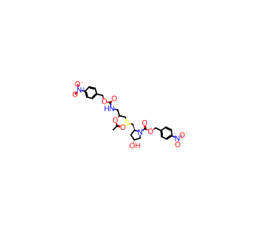 CC(=O)OC(CNC(=O)OCc1ccc([N+](=O)[O-])cc1)CSC[C@@H]1C[C@@H](O)CN1C(=O)OCc1ccc([N+](=O)[O-])cc1